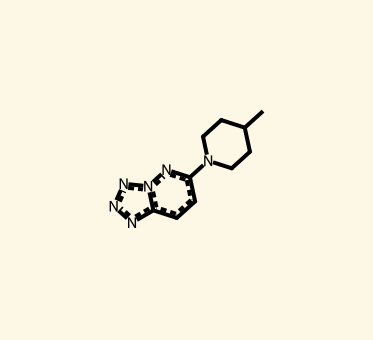 CC1CCN(c2ccc3nnnn3n2)CC1